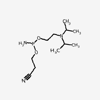 CC(C)N(CCOP(N)OCCC#N)C(C)C